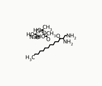 CC(=O)O.CC(=O)O.CC(=O)O.CCCCCCCCCCCC(=O)C(N)CN.[NaH]